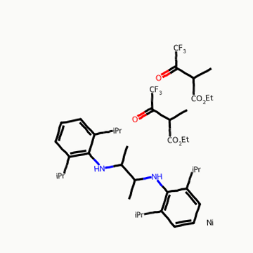 CC(C)c1cccc(C(C)C)c1NC(C)C(C)Nc1c(C(C)C)cccc1C(C)C.CCOC(=O)C(C)C(=O)C(F)(F)F.CCOC(=O)C(C)C(=O)C(F)(F)F.[Ni]